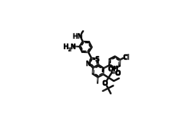 CCC(OC(C)(C)C)(C(=O)O)c1c(C)cc2nc(-c3ccc(NC)c(N)c3)sc2c1-c1ccc(Cl)cc1